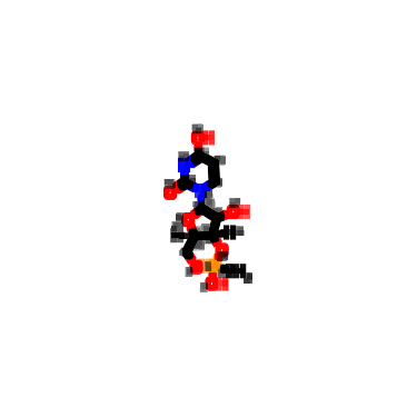 B[PH]1(O)OC[C@H]2O[C@@H](n3ccc(O)nc3=O)C(O)[C@@H]2O1